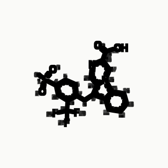 CS(=O)(=O)c1ccc(Cc2c3ccccc3n3cc(C(=O)O)ncc23)c(C(F)(F)F)c1